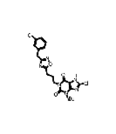 CCCCn1c(=O)n(CCCc2nc(Cc3cccc(Cl)c3)no2)c(=O)c2[nH]c(Cl)nc21